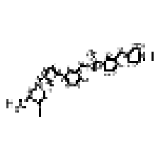 C[C@H]1CN(Cc2ccc(-c3cccc(CNC(=O)c4cccc(CC5CCNCC5)c4)c3)s2)CCN1